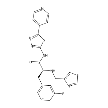 O=C(Nc1nnc(-c2ccncc2)s1)[C@H](Cc1cccc(F)c1)NCc1cscn1